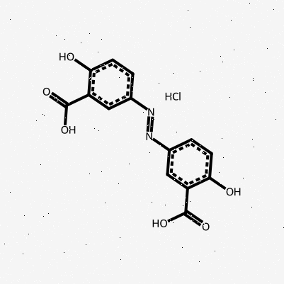 Cl.O=C(O)c1cc(N=Nc2ccc(O)c(C(=O)O)c2)ccc1O